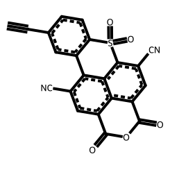 C#Cc1ccc2c(c1)-c1c(C#N)cc3c4c(cc(C#N)c(c14)S2(=O)=O)C(=O)OC3=O